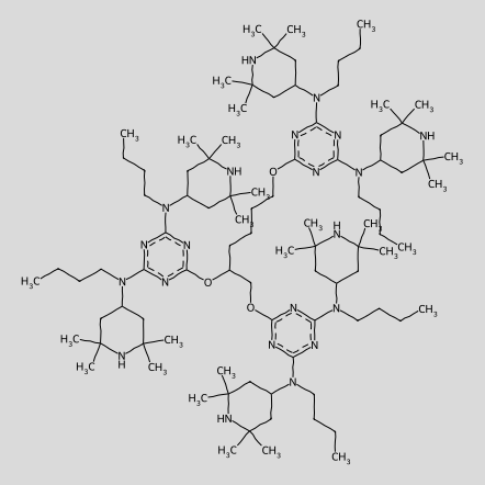 CCCCN(c1nc(OCCCCC(COc2nc(N(CCCC)C3CC(C)(C)NC(C)(C)C3)nc(N(CCCC)C3CC(C)(C)NC(C)(C)C3)n2)Oc2nc(N(CCCC)C3CC(C)(C)NC(C)(C)C3)nc(N(CCCC)C3CC(C)(C)NC(C)(C)C3)n2)nc(N(CCCC)C2CC(C)(C)NC(C)(C)C2)n1)C1CC(C)(C)NC(C)(C)C1